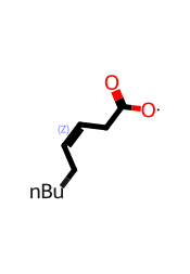 CCCCC/C=C\CC([O])=O